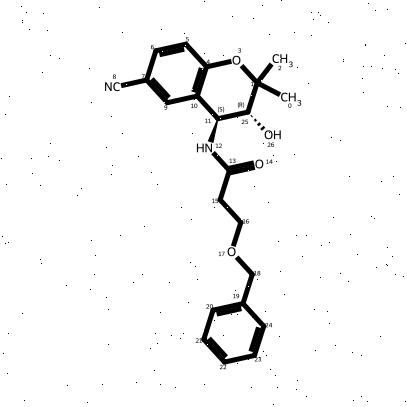 CC1(C)Oc2ccc(C#N)cc2[C@H](NC(=O)CCOCc2ccccc2)[C@H]1O